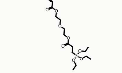 C=CC(=O)OCCOCCOC(=O)CC[Si](OCC)(OCC)OCC